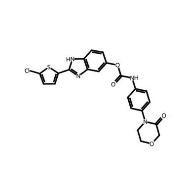 O=C(Nc1ccc(N2CCOCC2=O)cc1)Oc1ccc2[nH]c(-c3ccc(Cl)s3)nc2c1